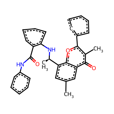 Cc1cc([C@@H](C)Nc2ccccc2C(=O)Nc2ccccc2)c2oc(-c3ccccc3)c(C)c(=O)c2c1